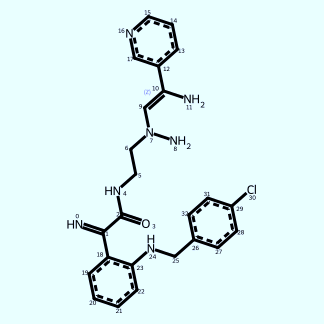 N=C(C(=O)NCCN(N)/C=C(\N)c1cccnc1)c1ccccc1NCc1ccc(Cl)cc1